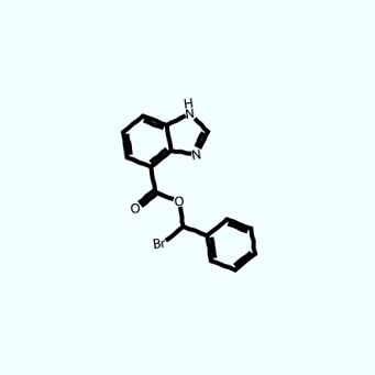 O=C(OC(Br)c1ccccc1)c1cccc2[nH]cnc12